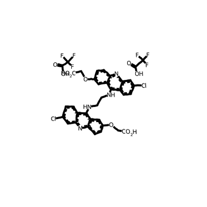 O=C(O)C(F)(F)F.O=C(O)C(F)(F)F.O=C(O)COc1ccc2nc3cc(Cl)ccc3c(NCCNc3c4ccc(Cl)cc4nc4ccc(OCC(=O)O)cc34)c2c1